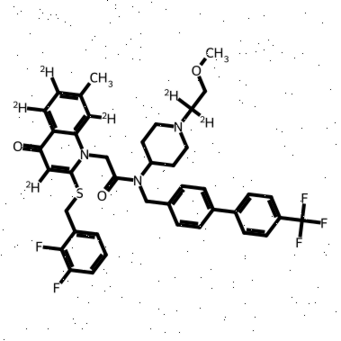 [2H]c1c(C)c([2H])c2c(c1[2H])c(=O)c([2H])c(SCc1cccc(F)c1F)n2CC(=O)N(Cc1ccc(-c2ccc(C(F)(F)F)cc2)cc1)C1CCN(C([2H])([2H])COC)CC1